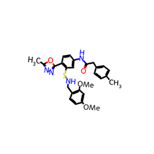 COc1ccc(CNSc2cc(NC(=O)Cc3ccc(C)cc3)ccc2-c2nnc(C)o2)c(OC)c1